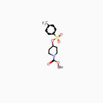 CC(C)(C)OC(=O)N1CCC(OS(=O)(=O)c2ccc(C(F)(F)F)cc2)CC1